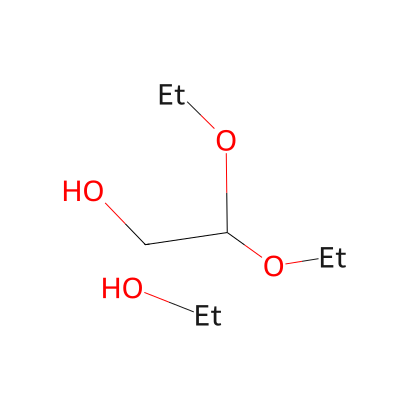 CCO.CCOC(CO)OCC